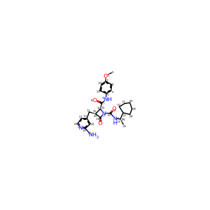 COc1ccc(NC(=O)[C@@H]2[C@H](Cc3ccnc(N)c3)C(=O)N2C(=O)N[C@H](C)C2CCCCC2)cc1